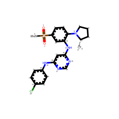 CNS(=O)(=O)c1ccc(N2CCC[C@@H]2C(F)(F)F)c(Nc2cc(Nc3ccc(Cl)cc3)ncn2)c1